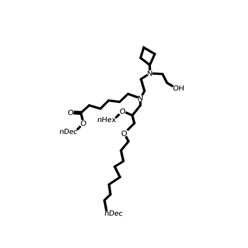 CCCCCCCCCCCCCCCCCCOCC(CN(CCCCCC(=O)OCCCCCCCCCC)CCN(CCO)C1CCC1)OCCCCCC